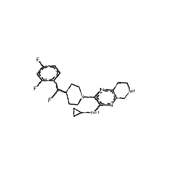 Fc1ccc(C(F)C2CCN(c3nc4c(nc3NC3CC3)CNCC4)CC2)c(F)c1